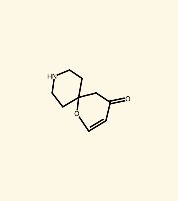 O=C1C=COC2(CCNCC2)C1